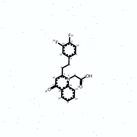 O=C(O)Cn1c(CCc2ccc(F)c(F)c2)cc(=O)c2ccccc21